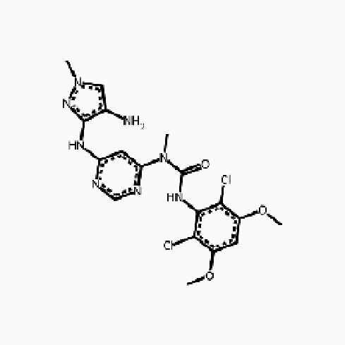 COc1cc(OC)c(Cl)c(NC(=O)N(C)c2cc(Nc3nn(C)cc3N)ncn2)c1Cl